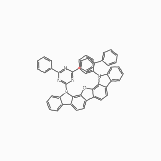 c1ccc(-c2nc(-c3ccccc3)nc(-n3c4ccccc4c4ccc5c6ccc7c8ccccc8n(-c8ccccc8-c8ccccc8)c7c6oc5c43)n2)cc1